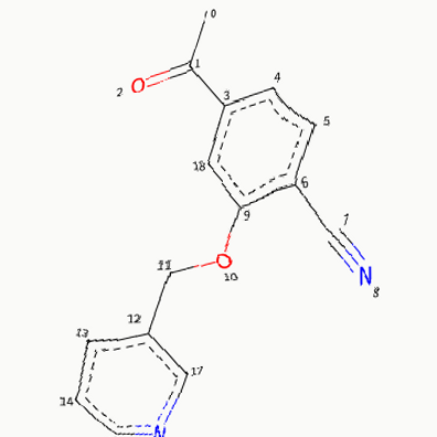 CC(=O)c1ccc(C#N)c(OCc2cccnc2)c1